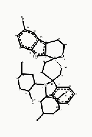 CC1CCC(C(C)C)C(N(C2CC(C)CCC2C(C)C)[C@]2(c3ccccc3)CC[C@@]3(CC2)OCCc2c4cc(F)ccc4[nH]c23)C1